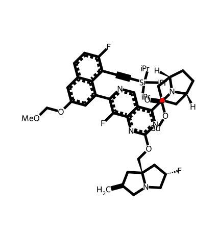 C=C1CN2C[C@@H](F)C[C@@]2(COc2nc(N3C[C@H]4CC[C@@H](C3)N4C(=O)OC(C)(C)C)c3cnc(-c4cc(OCOC)cc5ccc(F)c(C#C[Si](C(C)C)(C(C)C)C(C)C)c45)c(F)c3n2)C1